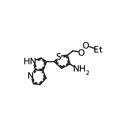 CCOOCc1sc(-c2c[nH]c3ncccc23)cc1N